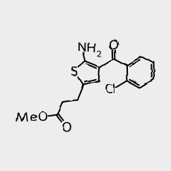 COC(=O)CCc1cc(C(=O)c2ccccc2Cl)c(N)s1